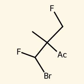 CC(=O)C(C)(CF)C(F)Br